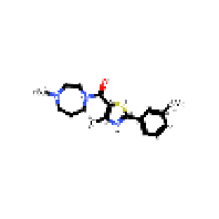 CCCCN1CCCN(C(=O)c2sc(-c3cccc(SC)c3)nc2C)CC1